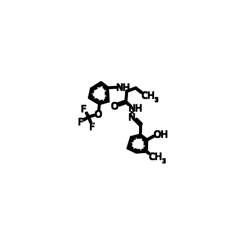 CCC(Nc1cccc(OC(F)(F)F)c1)C(=O)NN=Cc1cccc(C)c1O